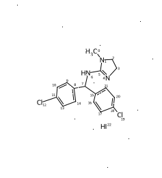 CN1CCN=C1NC(c1ccc(Cl)cc1)c1ccc(Cl)cc1.I